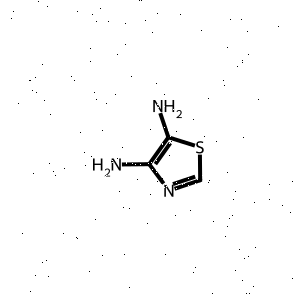 Nc1ncsc1N